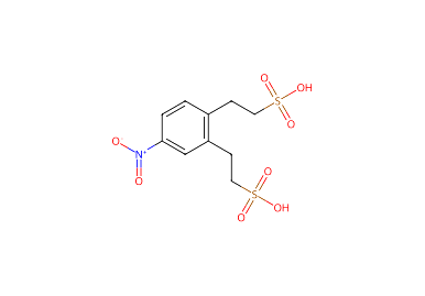 O=[N+]([O-])c1ccc(CCS(=O)(=O)O)c(CCS(=O)(=O)O)c1